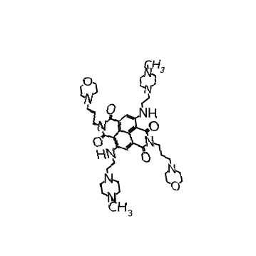 CN1CCN(CCNc2cc3c4c(c(NCCN5CCN(C)CC5)cc5c4c2C(=O)N(CCCN2CCOCC2)C5=O)C(=O)N(CCCN2CCOCC2)C3=O)CC1